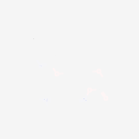 CC=NOC(=O)C(C)Oc1ccc(Oc2ccc(C(F)(F)F)cn2)cc1.CCNCC